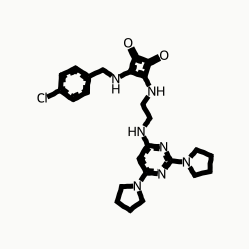 O=c1c(NCCNc2cc(N3CCCC3)nc(N3CCCC3)n2)c(NCc2ccc(Cl)cc2)c1=O